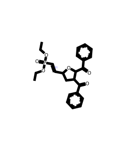 CCOP(=O)(/C=C/C1CC(C(=O)c2ccccc2)C(C(=O)c2ccccc2)O1)OCC